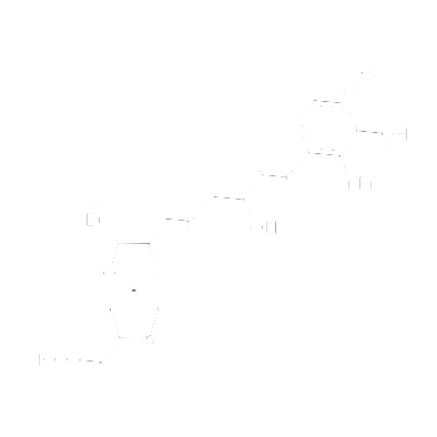 CCCc1c(OCC(O)CSCC2SC3(CCC(CC(=O)O)C3)OC2CC)ccc(C(C)=O)c1O